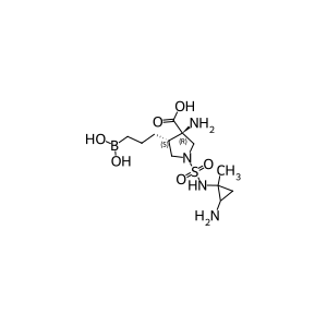 CC1(NS(=O)(=O)N2C[C@H](CCCB(O)O)[C@](N)(C(=O)O)C2)CC1N